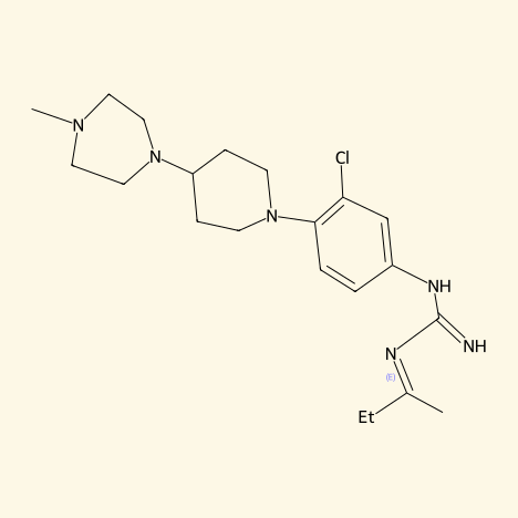 CC/C(C)=N/C(=N)Nc1ccc(N2CCC(N3CCN(C)CC3)CC2)c(Cl)c1